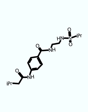 CC(C)CC(=O)Nc1ccc(C(=O)NCCNS(=O)(=O)C(C)C)cc1